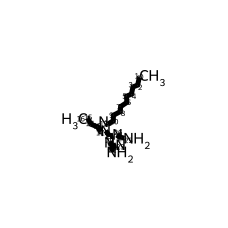 CCCCCCCCCCCc1nc(CCC)cn1-c1nc(N)nc(N)n1